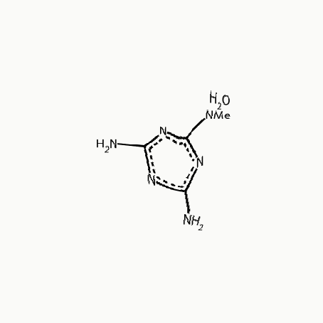 CNc1nc(N)nc(N)n1.O